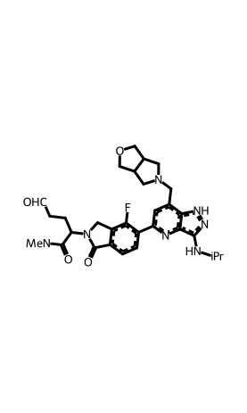 CNC(=O)C(CCC=O)N1Cc2c(ccc(-c3cc(CN4CC5COCC5C4)c4[nH]nc(NC(C)C)c4n3)c2F)C1=O